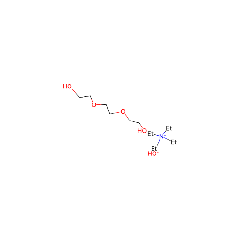 CC[N+](CC)(CC)CC.OCCOCCOCCO.[OH-]